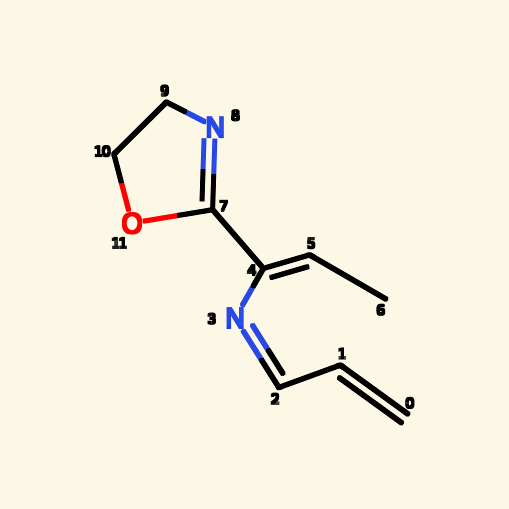 C=C/C=N\C(=C/C)C1=NCCO1